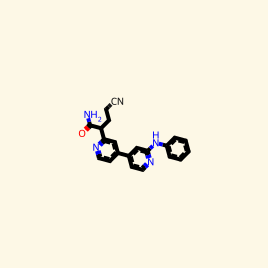 N#CCCC(C(N)=O)c1cc(-c2ccnc(Nc3ccccc3)c2)ccn1